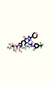 CCc1c(/C=C2/CN(C(=O)OC(C)(C)C)C(C)(C)C2)c(=O)n2nc(C3=CCOCCC3)nc2n1CC(=O)Nc1ccc(C(F)(F)F)cc1Cl